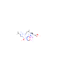 CC(C)c1cc(C(=O)N2CCOCC2)n(CCC(C)c2cc(C3COC3)[nH]n2)n1